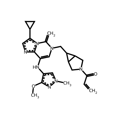 C=CC(=O)N1CC2C(CN3C=C(Nc4cn(C)nc4OC)c4ncc(C5CC5)n4C3=C)C2C1